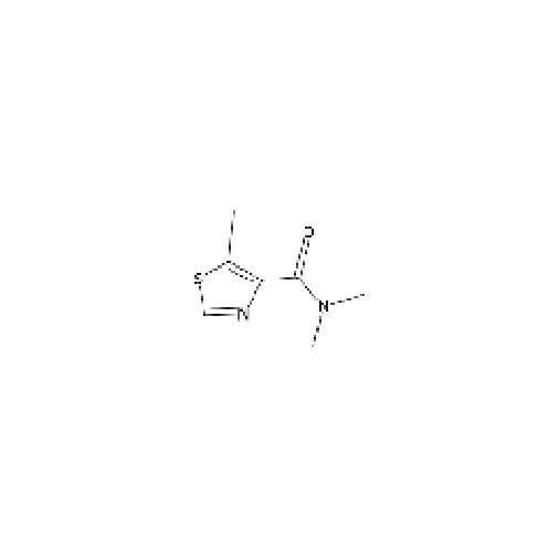 Cc1scnc1C(=O)N(C)C